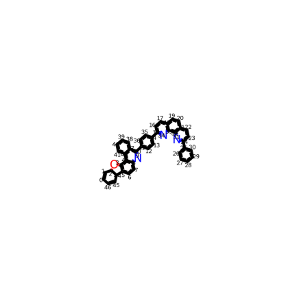 C1=CC2Oc3c(ccc4nc(-c5ccc(-c6ccc7ccc8ccc(-c9ccccc9)nc8c7n6)cc5)c5ccccc5c34)C2C=C1